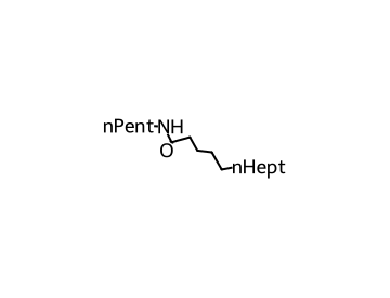 [CH2]CCCCCCCCCCC(=O)NCCCCC